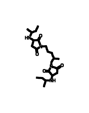 CCC(C)NC1CC(=O)N(CCCC(C)CN2C(=O)CC(NC(C)CC)C2=O)C1=O